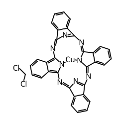 ClCCl.c1ccc2c(c1)C1=NC/2=N\c2c3ccccc3c3[n]2[Cu][n]2/c(c4ccccc4/c2=N/C2=N\C(=N/3)c3ccccc32)=N\1